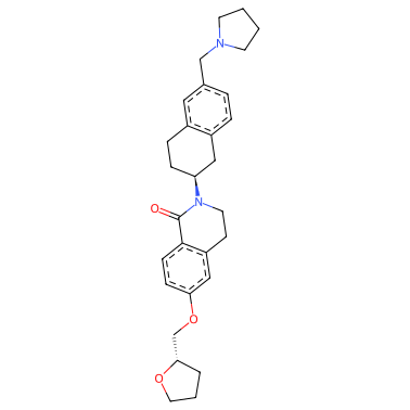 O=C1c2ccc(OC[C@@H]3CCCO3)cc2CCN1[C@H]1CCc2cc(CN3CCCC3)ccc2C1